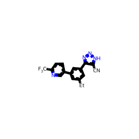 CCc1cc(-c2ccc(C(F)(F)F)nc2)cc(-c2nn[nH]c2C#N)c1